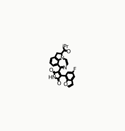 CC(C)C(=O)C1Cc2cccc3c2N1C=CN=C3C1=C(c2cc(F)cc3ccoc23)C(=O)NC1=O